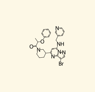 CC(Oc1ccccc1)C(=O)N1CCCC(c2cc(NCc3cccnc3)n3ncc(Br)c3n2)C1